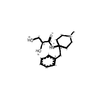 CN1CCC(Cc2ccccc2)(NC(=O)C(O)CO)CC1